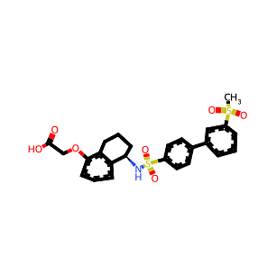 CS(=O)(=O)c1cccc(-c2ccc(S(=O)(=O)N[C@@H]3CCCc4c(OCC(=O)O)cccc43)cc2)c1